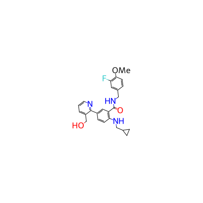 COc1ccc(CNC(=O)c2cc(-c3ncccc3CO)ccc2NCC2CC2)cc1F